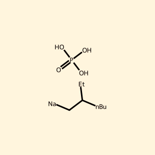 CCCCC(CC)[CH2][Na].O=P(O)(O)O